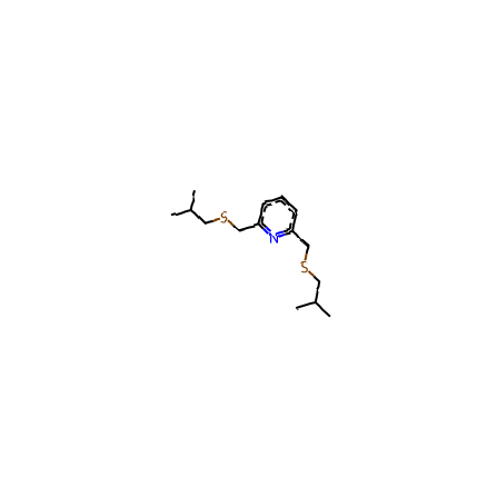 CC(C)CSCc1cccc(CSCC(C)C)n1